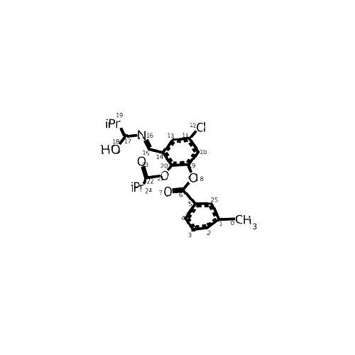 Cc1cccc(C(=O)Oc2cc(Cl)cc(/C=N/C(O)C(C)C)c2OC(=O)C(C)C)c1